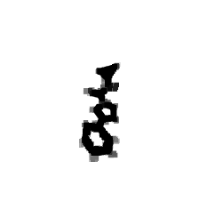 S=C(NC1CC1)N1CCC(c2ccccc2)C1